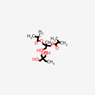 C=C(C)C(=O)OCC(C)(CO)COC(=O)C(=C)C.CCC(CO)(CO)CO